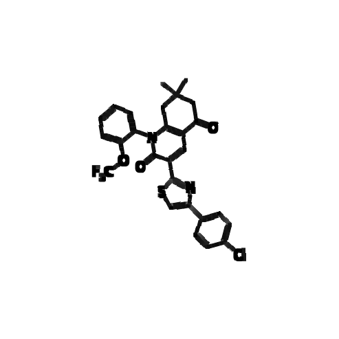 CC1(C)CC(=O)c2cc(-c3nc(-c4ccc(Cl)cc4)cs3)c(=O)n(-c3ccccc3OC(F)(F)F)c2C1